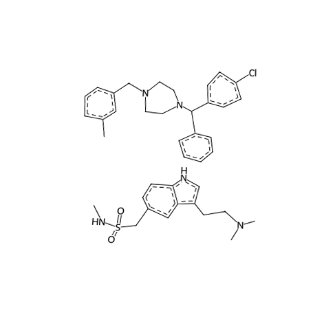 CNS(=O)(=O)Cc1ccc2[nH]cc(CCN(C)C)c2c1.Cc1cccc(CN2CCN(C(c3ccccc3)c3ccc(Cl)cc3)CC2)c1